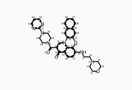 O=C(c1cn2c3c(c(NCCN4CCOCC4)ccc3c1=O)Oc1cc3ccccc3cc1-2)N1CCN(c2ncccn2)CC1